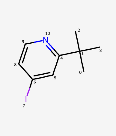 CC(C)(C)c1cc(I)ccn1